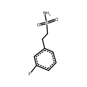 NS(=O)(=O)CCc1cccc(F)c1